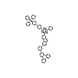 c1ccc(-c2nc(-c3ccc(-c4ccc([Si](c5ccccc5)(c5ccccc5)c5ccccc5)cc4)cc3)nc(-c3ccc4c(c3)sc3ccc(-c5cccc(-c6ccc7c8ccccc8c8ccccc8c7c6)c5)cc34)n2)cc1